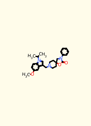 COc1ccc2c(c1)c(CN1CCC3(CC1)CN(c1ccccc1)C(=O)O3)cn2C(C)C